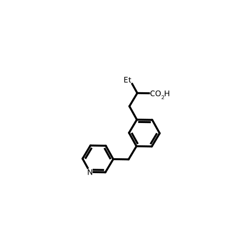 CCC(Cc1cccc(Cc2cccnc2)c1)C(=O)O